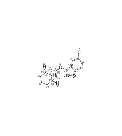 Clc1ccc2snc(O[C@@H]3C[C@H]4CCC[C@@H](C3)N4)c2c1